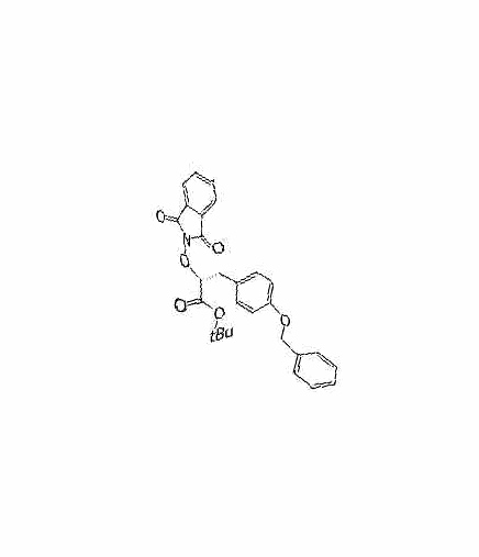 CC(C)(C)OC(=O)[C@@H](Cc1ccc(OCc2ccccc2)cc1)ON1C(=O)c2ccccc2C1=O